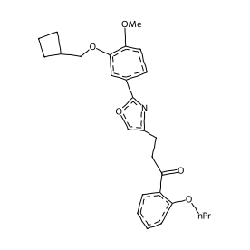 CCCOc1ccccc1C(=O)CCc1coc(-c2ccc(OC)c(OCC3CCC3)c2)n1